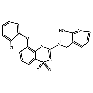 O=S1(=O)N=C(NCc2cccnc2O)Nc2c(Oc3ccccc3Cl)cccc21